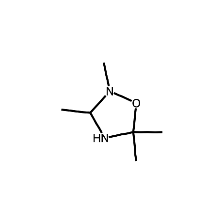 CC1NC(C)(C)ON1C